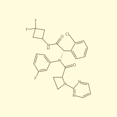 O=C(NC1CC(F)(F)C1)[C@H](c1ccccc1Cl)N(C(=O)C1CCN1c1ncccn1)c1cccc(F)c1